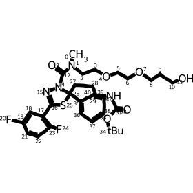 CN(CCOCCOCCCO)C(=O)N1N=C(c2cc(F)ccc2F)SC1(CCCNC(=O)OC(C)(C)C)c1ccccc1